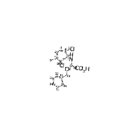 Cc1ccc(Cl)c(NC(OCc2ccccc2)C(=O)O)c1Cl